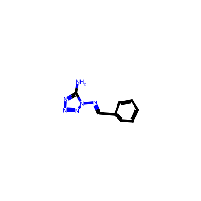 Nc1nnnn1/N=C/c1ccccc1